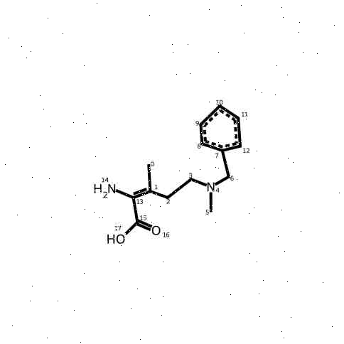 C/C(CCN(C)Cc1ccccc1)=C(\N)C(=O)O